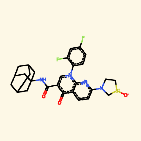 O=C(NC12CC3CC(CC(C3)C1)C2)c1cn(-c2ccc(F)cc2F)c2nc(N3CC[S+]([O-])C3)ccc2c1=O